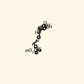 CC(Cc1ccc(OCCCN(C)[C@H]2CC[C@H](OC(C(=O)O)(c3cccs3)c3cccs3)CC2)cc1)NC[C@H](O[Si](C)(C)C(C)(C)C)c1ccc(O)c2[nH]c(=O)ccc12